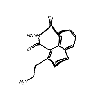 Cl.NCCc1ccc2cccc3c2c1C(=O)NC3=O